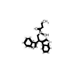 CCCC(=O)N(O)CC(c1csc2ccccc12)c1csc2ccccc12